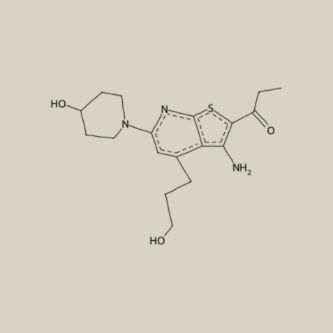 CCC(=O)c1sc2nc(N3CCC(O)CC3)cc(CCCO)c2c1N